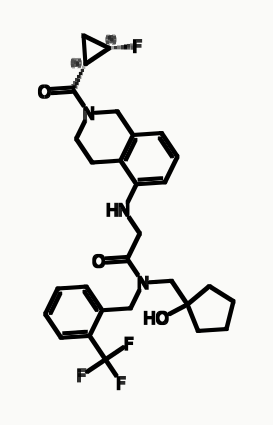 O=C(CNc1cccc2c1CCN(C(=O)[C@@H]1C[C@@H]1F)C2)N(Cc1ccccc1C(F)(F)F)CC1(O)CCCC1